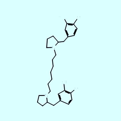 Oc1ccc(CC2CCCN2CCCCCCCN2CCCC2Cc2ccc(O)c(O)c2)cc1O